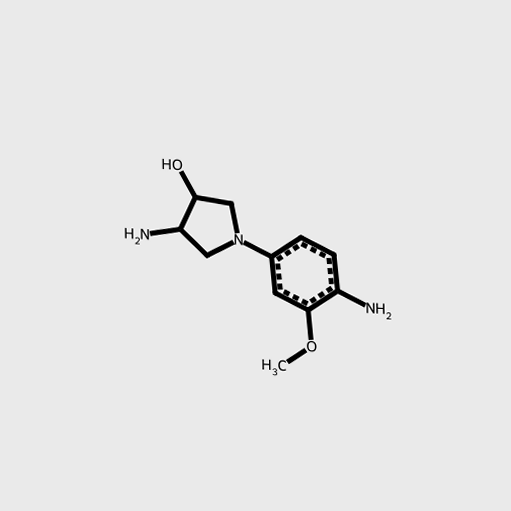 COc1cc(N2CC(N)C(O)C2)ccc1N